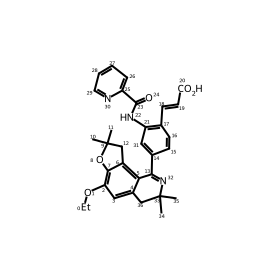 CCOc1cc2c(c3c1OC(C)(C)C3)C(c1ccc(/C=C/C(=O)O)c(NC(=O)c3ccccn3)c1)=NC(C)(C)C2